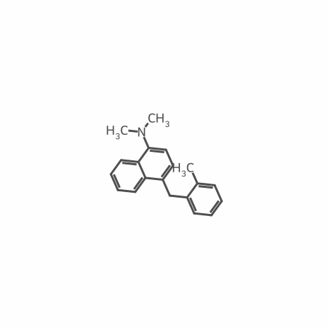 Cc1ccccc1Cc1ccc(N(C)C)c2ccccc12